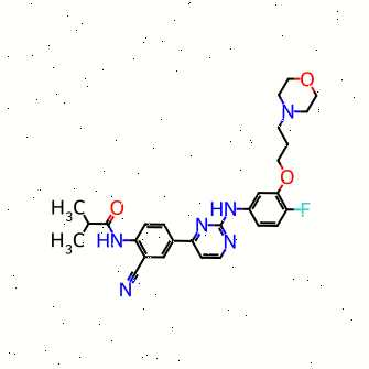 CC(C)C(=O)Nc1ccc(-c2ccnc(Nc3ccc(F)c(OCCCN4CCOCC4)c3)n2)cc1C#N